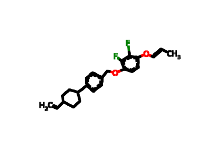 C=CC1CCC(c2ccc(COc3ccc(O/C=C/C)c(F)c3F)cc2)CC1